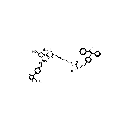 CC/C(=C(\c1ccccc1)c1ccc(OCCN(C)C(=O)CCOCCOCCC(=O)N[C@H](C(=O)N2C[C@H](O)C[C@H]2C(=O)NCc2ccc(-c3scnc3C)cc2)C(C)(C)C)cc1)c1ccccc1